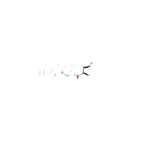 COC(CNC(=O)c1csc(I)c1Br)OC